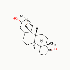 CC(=O)SC[C@]12C=CC(O)CC1CC[C@@H]1[C@H]2CC[C@]2(C)C(=O)CC[C@@H]12